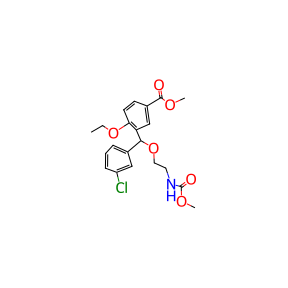 CCOc1ccc(C(=O)OC)cc1C(OCCNC(=O)OC)c1cccc(Cl)c1